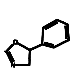 [C]1=NCC(c2ccccc2)O1